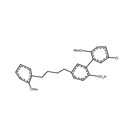 COc1ccccc1CCCCc1ccc(S(=O)(=O)O)c(-c2cc(Cl)ccc2OC)c1